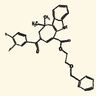 CC1(C)CN(C(=O)c2ccc(F)c(F)c2)C=C(C(=O)OCCOCc2ccccc2)c2[nH]c3ccccc3c21